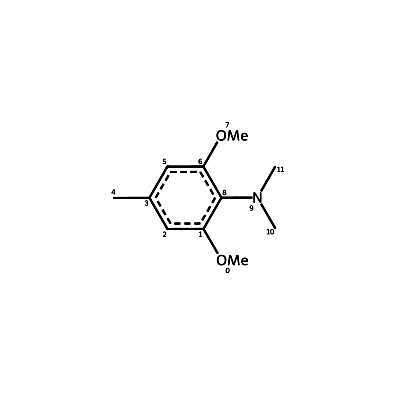 COc1cc(C)cc(OC)c1N(C)C